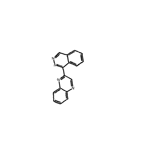 C1=N[N+]=C(C2=[N+]c3ccccc3N=C2)c2ccccc21